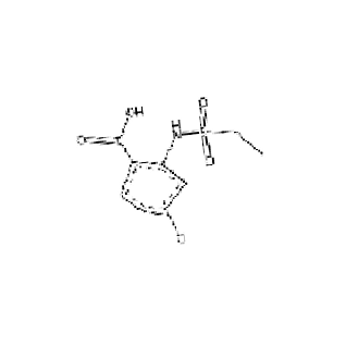 CCS(=O)(=O)Nc1cc(Cl)ccc1C(=O)O